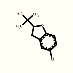 CC(C)(C)C1Cc2cc(Cl)ccc2O1